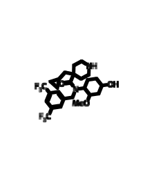 COC1CC(O)CCC1N(Cc1cc(C(F)(F)F)cc(C(F)(F)F)c1)C(=O)C1(CC2CC2)CCNCC1